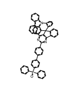 O=P(c1ccccc1)(c1ccccc1)c1ccc(-c2ccc(-c3nc(-c4ccccc4)c4c(n3)-c3ccccc3C43c4ccccc4-n4c5ccccc5c5cccc3c54)cc2)cc1